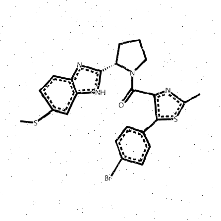 CSc1ccc2nc([C@@H]3CCCN3C(=O)c3nc(C)sc3-c3ccc(Br)cc3)[nH]c2c1